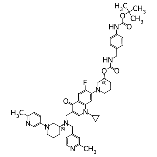 Cc1ccc(N2CCC[C@H](N(Cc3ccnc(C)c3)Cc3cn(C4CC4)c4cc(N5CCC[C@H](OC(=O)NCc6ccc(NC(=O)OC(C)(C)C)cc6)C5)c(F)cc4c3=O)C2)cn1